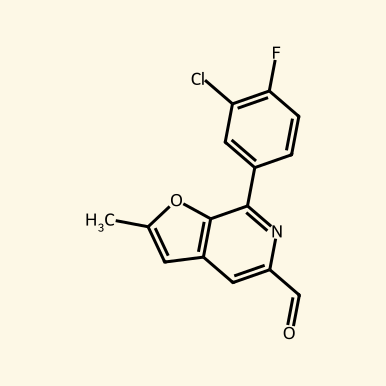 Cc1cc2cc(C=O)nc(-c3ccc(F)c(Cl)c3)c2o1